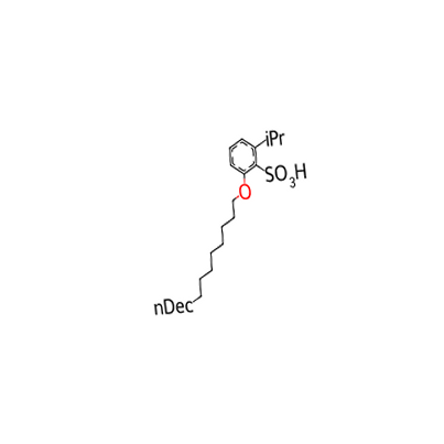 CCCCCCCCCCCCCCCCCCOc1cccc(C(C)C)c1S(=O)(=O)O